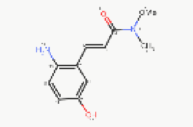 CON(C)C(=O)/C=C/c1cc(O)ccc1N